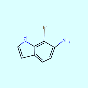 Nc1ccc2cc[nH]c2c1Br